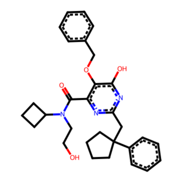 O=C(c1nc(CC2(c3ccccc3)CCCC2)nc(O)c1OCc1ccccc1)N(CCO)C1CCC1